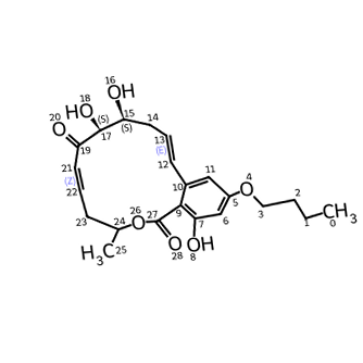 CCCCOc1cc(O)c2c(c1)/C=C/C[C@H](O)[C@H](O)C(=O)/C=C\CC(C)OC2=O